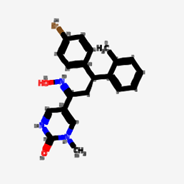 Cc1ccccc1[C@@H](CC(=NO)c1cnc(=O)n(C)c1)c1ccc(Br)cc1